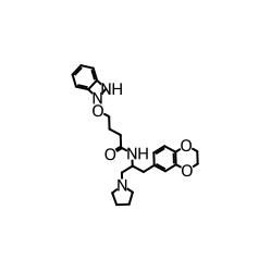 O=C(CCCOn1[nH]c2ccccc21)NC(Cc1ccc2c(c1)OCCO2)CN1CCCC1